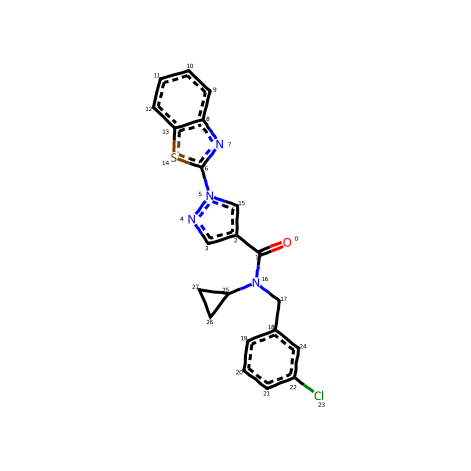 O=C(c1cnn(-c2nc3ccccc3s2)c1)N(Cc1cccc(Cl)c1)C1CC1